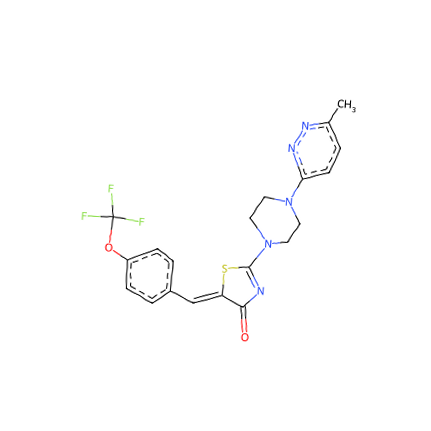 Cc1ccc(N2CCN(C3=NC(=O)C(=Cc4ccc(OC(F)(F)F)cc4)S3)CC2)nn1